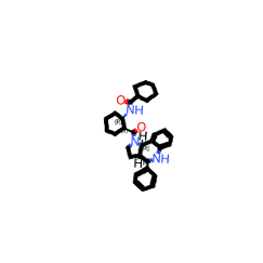 O=C(N[C@@H]1CCCC[C@@H]1C(=O)N1CC[C@@H]2[C@H](c3ccccc3)Nc3ccccc3[C@@H]21)C1CCCCC1